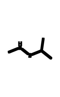 CBSC(C)C